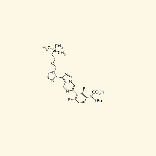 CC(C)(C)N(C(=O)O)c1ccc(F)c(-c2cn3cnc(-c4nccn4COCC[Si](C)(C)C)c3cn2)c1F